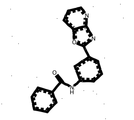 O=C(Nc1cccc(-c2nc3ncccc3o2)c1)c1ccccc1